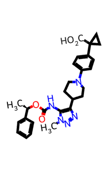 C[C@@H](OC(=O)Nc1c(C2CCN(c3ccc(C4(C(=O)O)CC4)cc3)CC2)nnn1C)c1ccccc1